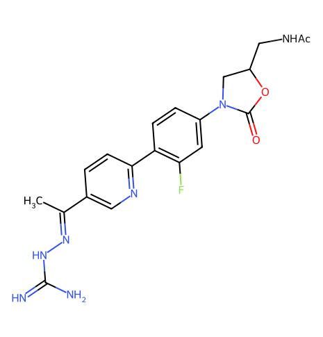 CC(=O)NCC1CN(c2ccc(-c3ccc(C(C)=NNC(=N)N)cn3)c(F)c2)C(=O)O1